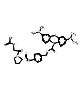 CCC(=O)NCC(=O)N1CCC[C@H]1C(=O)Nc1ccc(COC(=O)N2c3ccc(N(C)C)cc3Sc3cc(N(C)C)ccc32)cc1